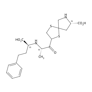 C[C@H](N[C@@H](CCc1ccccc1)C(=O)O)C(=O)C1CSC2(CN[C@H](C(=O)O)C2)S1